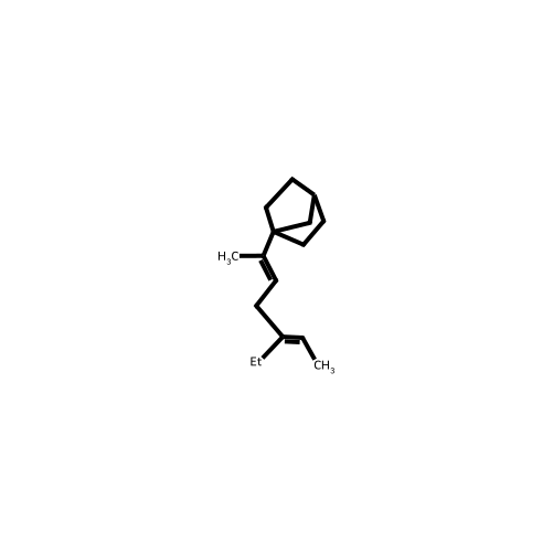 CC=C(CC)CC=C(C)C12CCC(CC1)C2